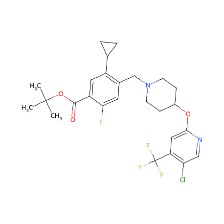 CC(C)(C)OC(=O)c1cc(C2CC2)c(CN2CCC(Oc3cc(C(F)(F)F)c(Cl)cn3)CC2)cc1F